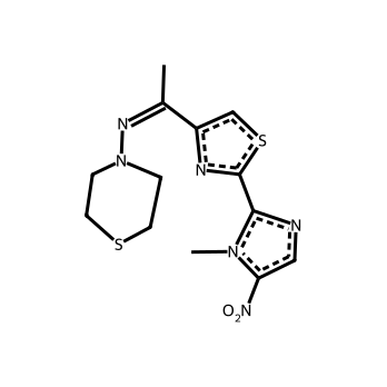 CC(=NN1CCSCC1)c1csc(-c2ncc([N+](=O)[O-])n2C)n1